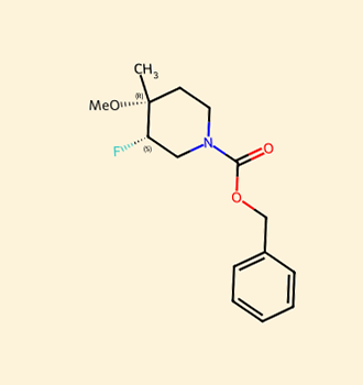 CO[C@]1(C)CCN(C(=O)OCc2ccccc2)C[C@@H]1F